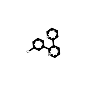 Clc1cccc(-c2ncccc2-c2ccccn2)c1